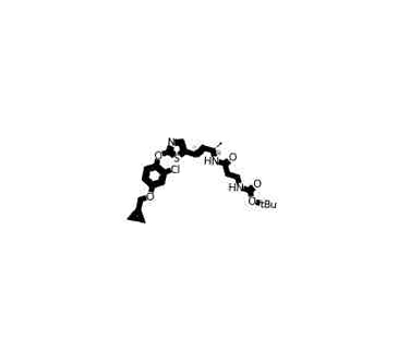 C[C@@H](/C=C/c1cnc(Oc2ccc(OCC3CC3)cc2Cl)s1)NC(=O)CCNC(=O)OC(C)(C)C